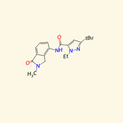 CCn1nc(C(C)(C)C)cc1C(=O)Nc1cccc2c1CN(C)C2=O